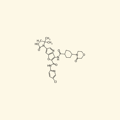 CC(C)(C)N(C(=O)O)c1cnc2c(NC(=O)C3CCC(N4CCOCC4=O)CC3)c(C(=O)Nc3ccc(Cl)cn3)oc2c1